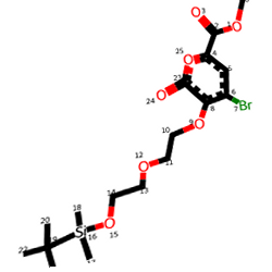 COC(=O)c1cc(Br)c(OCCOCCO[Si](C)(C)C(C)(C)C)c(=O)o1